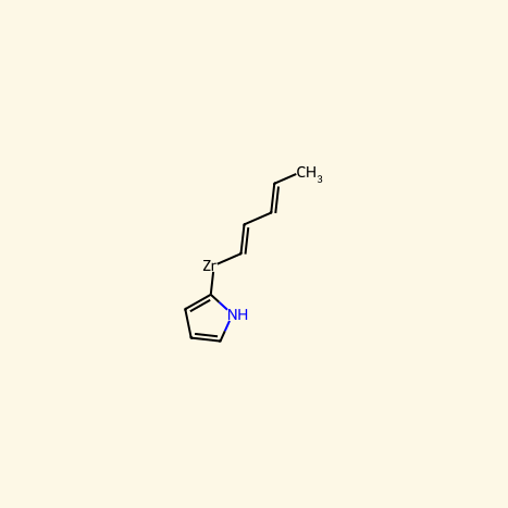 CC=CC=[CH][Zr][c]1ccc[nH]1